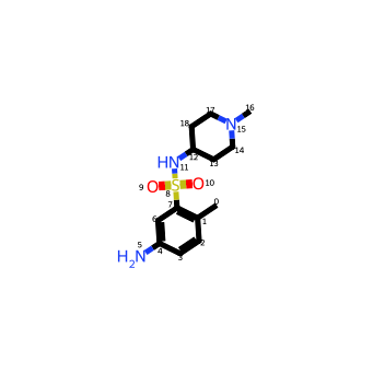 Cc1ccc(N)cc1S(=O)(=O)NC1CCN(C)CC1